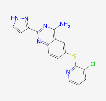 Nc1nc(-c2cc[nH]n2)nc2ccc(Sc3ncccc3Cl)cc12